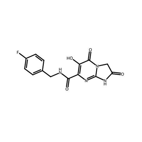 O=C1Cn2c(nc(C(=O)NCc3ccc(F)cc3)c(O)c2=O)N1